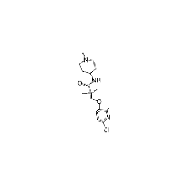 Cc1nc(Cl)ccc1OCC(C)(C)C(=O)NC1CCN(C)CC1